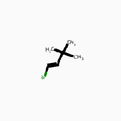 CC(C)(C)C=CBr